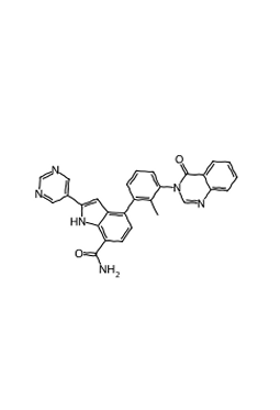 Cc1c(-c2ccc(C(N)=O)c3[nH]c(-c4cncnc4)cc23)cccc1-n1cnc2ccccc2c1=O